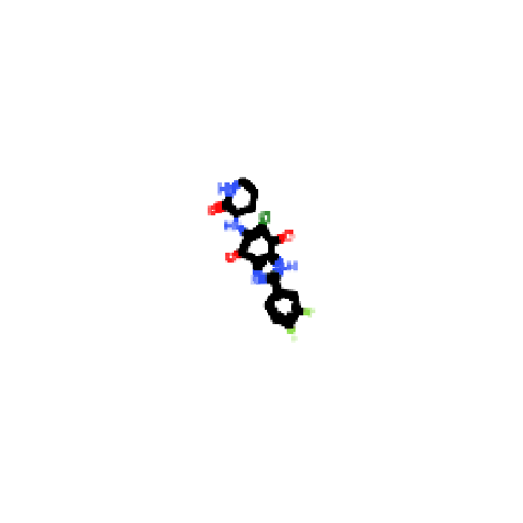 O=C1C(N[C@H]2CCCNC2=O)=C(Cl)C(=O)c2[nH]c(-c3ccc(F)c(F)c3)nc21